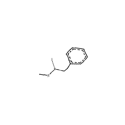 CSB(I)Cc1ccccc1